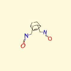 O=C=NCC1C2C=CC(CC2)C1CN=C=O